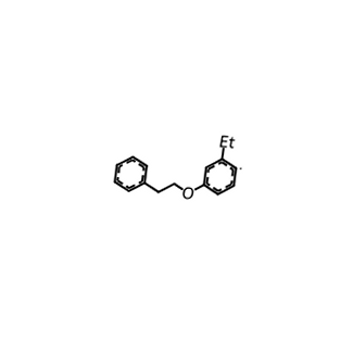 CCc1[c]ccc(OCCc2ccccc2)c1